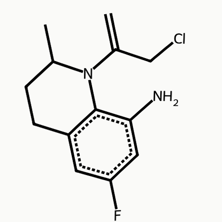 C=C(CCl)N1c2c(N)cc(F)cc2CCC1C